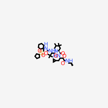 C=CCNC(=O)C(=O)C(CC1CC1)NC(=O)[C@@H]1CC(C)(C)C(C)CN1C(=O)[C@@H](NC(=O)NC1(CS(=O)(=O)C2CCCC2)CCCCC1)C(C)(C)C